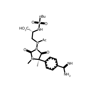 CCCCS(=O)(=O)N[C@H](CN(C(C)=O)N1C(=O)N(C)[C@](C)(c2ccc(C(=N)N)cc2)C1=O)C(=O)O